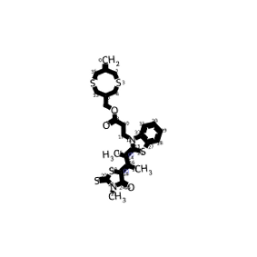 C=C1CSCC(COC(=O)CCN2/C(=C(C)/C(C)=C3\SC(=S)N(C)C3=O)Sc3ccccc32)CSC1